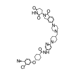 N#Cc1ccc(O[C@H]2CC[C@H](C(=O)Nc3ccc(N4CCC(CN5CCN(c6ccc7c(c6)CN(C6CCC(=O)NC6=O)C7=O)CC5)CC4)nc3)CC2)cc1Cl